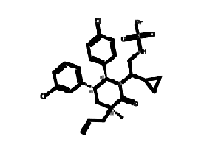 C=CC[C@@]1(C)C[C@H](c2cccc(Cl)c2)[C@@H](c2ccc(Cl)cc2)N(C(CNS(=O)(=O)C(C)C)C2CC2)C1=O